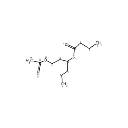 CCCC(=O)SC(CCC)CCOC(C)=O